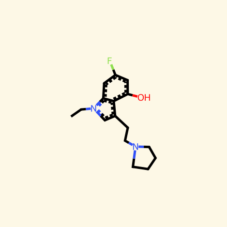 CCn1cc(CCN2CCCC2)c2c(O)cc(F)cc21